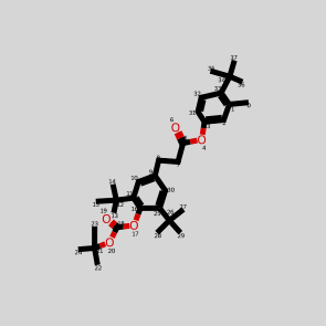 Cc1cc(OC(=O)CCc2cc(C(C)(C)C)c(OC(=O)OC(C)(C)C)c(C(C)(C)C)c2)ccc1C(C)(C)C